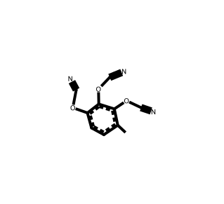 Cc1ccc(OC#N)c(OC#N)c1OC#N